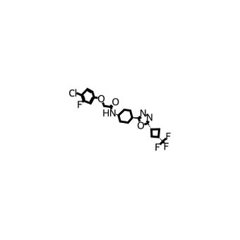 O=C(COc1ccc(Cl)c(F)c1)N[C@H]1CC[C@H](c2nnc([C@H]3C[C@@H](C(F)(F)F)C3)o2)CC1